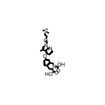 Cc1cn(COCC[Si](C)(C)C)c2nccc(Oc3ccc4c(c3)CN(C(=O)O)[C@@H](C(=O)O)C4)c12